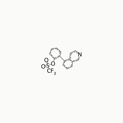 O=S(=O)(Oc1ccccc1-c1cccc2cnccc12)C(F)(F)F